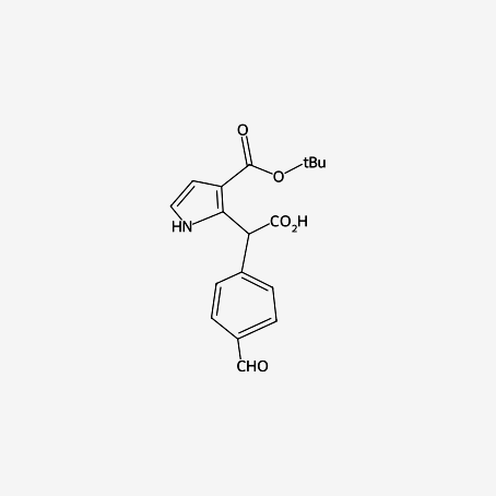 CC(C)(C)OC(=O)c1cc[nH]c1C(C(=O)O)c1ccc(C=O)cc1